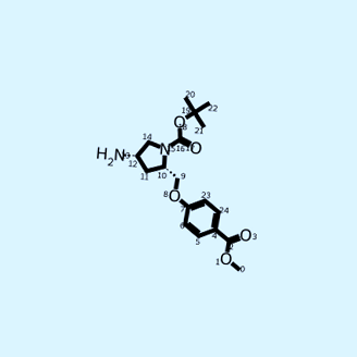 COC(=O)c1ccc(OC[C@@H]2C[C@H](N)CN2C(=O)OC(C)(C)C)cc1